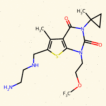 Cc1c(CNCCN)sc2c1c(=O)n(C1(C)CC1)c(=O)n2CCOC(F)(F)F